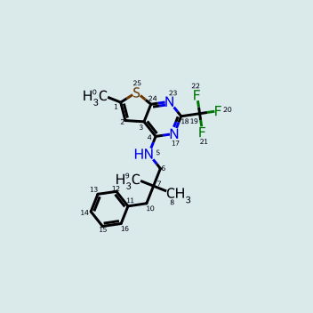 Cc1cc2c(NCC(C)(C)Cc3ccccc3)nc(C(F)(F)F)nc2s1